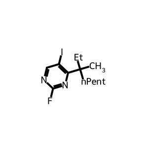 CCCCCC(C)(CC)c1nc(F)ncc1I